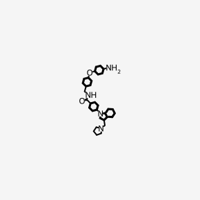 Nc1ccc(Oc2ccc(CNC(=O)c3ccc(-n4cc(CN5CCCC5)c5ccccc54)cc3)cc2)cc1